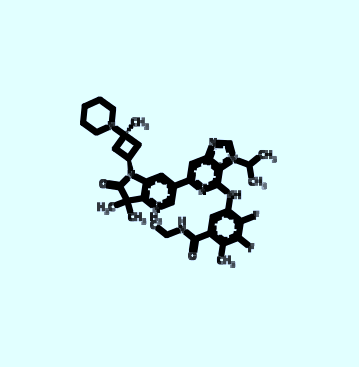 CCNC(=O)c1cc(Nc2nc(-c3cnc4c(c3)N([C@H]3C[C@@](C)(N5CCCCC5)C3)C(=O)C4(C)C)cc3ncn(C(C)C)c23)c(F)c(F)c1C